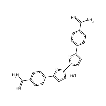 Cl.N=C(N)c1ccc(-c2ccc(-c3ccc(-c4ccc(C(=N)N)cc4)o3)o2)cc1